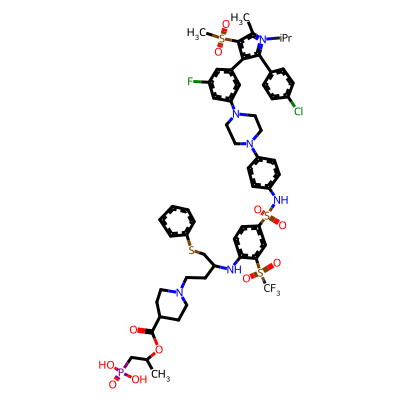 Cc1c(S(C)(=O)=O)c(-c2cc(F)cc(N3CCN(c4ccc(NS(=O)(=O)c5ccc(NC(CCN6CCC(C(=O)OC(C)CP(=O)(O)O)CC6)CSc6ccccc6)c(S(=O)(=O)C(F)(F)F)c5)cc4)CC3)c2)c(-c2ccc(Cl)cc2)n1C(C)C